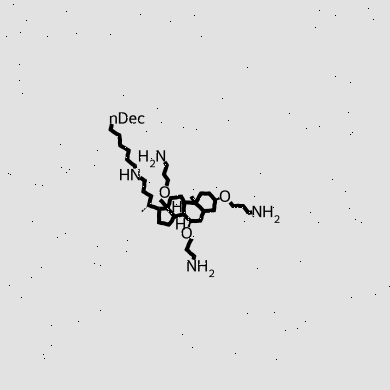 CCCCCCCCCCCCCCCCNCCC[C@@H](C)C1CC[C@H]2C3[C@H](OCCCN)CC4C[C@H](OCCCN)CCC4(C)[C@H]3C[C@H](OCCCN)C12C